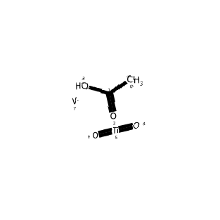 CC(=O)O.[O]=[Ti]=[O].[V]